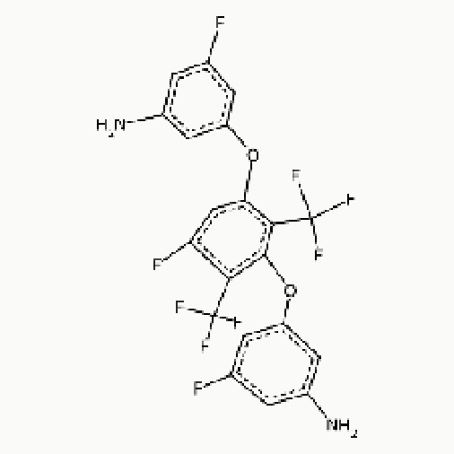 Nc1cc(F)cc(Oc2cc(F)c(C(F)(F)F)c(Oc3cc(N)cc(F)c3)c2C(F)(F)F)c1